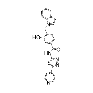 O=C(Nc1nnc(-c2ccncc2)s1)c1ccc(Cn2ccc3ccccc32)c(O)c1